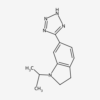 CC(C)N1CCc2ccc(-c3nn[nH]n3)cc21